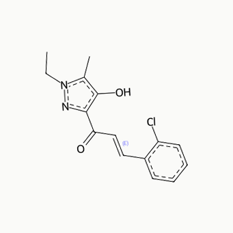 CCn1nc(C(=O)/C=C/c2ccccc2Cl)c(O)c1C